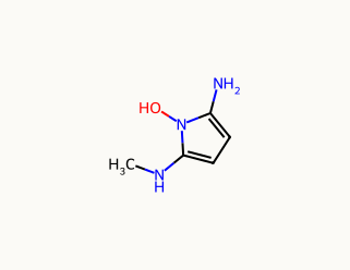 CNc1ccc(N)n1O